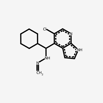 C=NNC(c1c(Cl)cnc2[nH]ccc12)C1CCCCC1